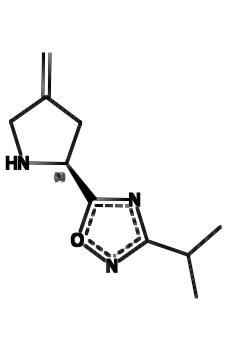 C=C1CN[C@H](c2nc(C(C)C)no2)C1